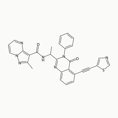 Cc1nn2cccnc2c1C(=O)NC(C)c1nc2cccc(C#Cc3cncs3)c2c(=O)n1-c1ccccc1